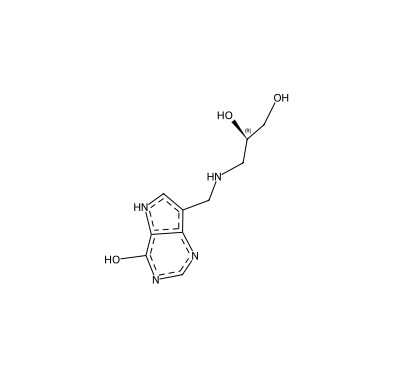 OC[C@H](O)CNCc1c[nH]c2c(O)ncnc12